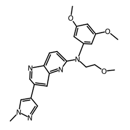 COCCN(c1cc(OC)cc(OC)c1)c1ccc2ncc(-c3cnn(C)c3)cc2n1